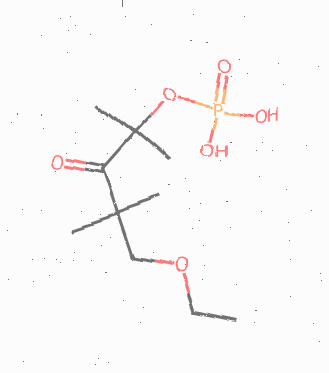 CCOCC(C)(C)C(=O)C(C)(C)OP(=O)(O)O